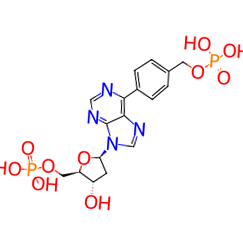 O=P(O)(O)OCc1ccc(-c2ncnc3c2ncn3[C@H]2C[C@H](O)[C@@H](COP(=O)(O)O)O2)cc1